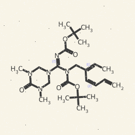 C=C/C=C\C(=C/C)CN(C(=O)OC(C)(C)C)/C(=N\C(=O)OC(C)(C)C)N1CN(C)C(=O)N(C)C1